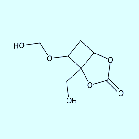 O=C1OC2CC(OCO)C2(CO)O1